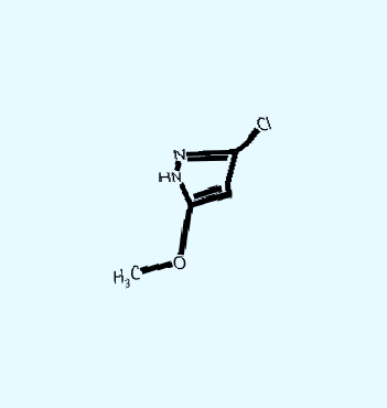 COc1cc(Cl)n[nH]1